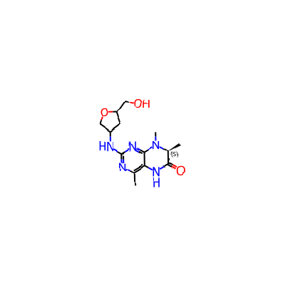 Cc1nc(NC2COC(CO)C2)nc2c1NC(=O)[C@H](C)N2C